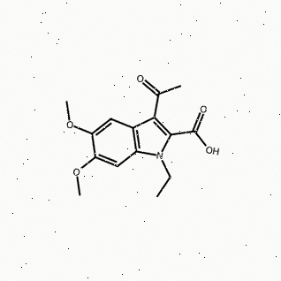 CCn1c(C(=O)O)c(C(C)=O)c2cc(OC)c(OC)cc21